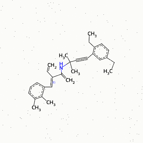 C=C/C(=C\c1cccc(C)c1C)C(=C)NC(C)(C)C#Cc1cc(CC)ccc1CC